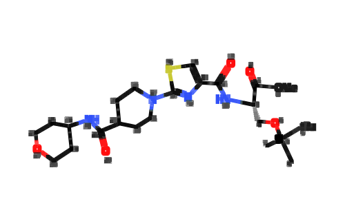 COC(=O)[C@H](CO[Si](C)(C)C(C)(C)C)NC(=O)c1csc(N2CCC(C(=O)NC3CCOCC3)CC2)n1